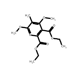 CCOC(=O)c1nc(OC)c(C)c(OC)c1C(=O)OCC